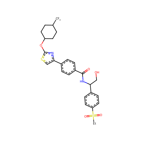 CCS(=O)(=O)c1ccc(C(CO)NC(=O)c2ccc(-c3csc(OC4CCC(C(F)(F)F)CC4)n3)cc2)cc1